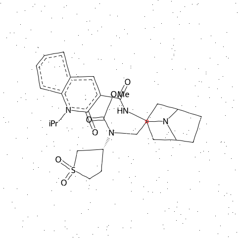 COC(=O)N(CCN1C2CCC1CC(NC(=O)c1cc3ccccc3n(C(C)C)c1=O)C2)[C@@H]1CCS(=O)(=O)C1